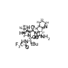 CC(C)(C)C(NC(=O)C(F)(F)F)C(=O)N1C[C@H]2[C@@H]([C@H]1C(=O)NC1(C(N)=O)Cc3cccnc3C1)C2(C)C